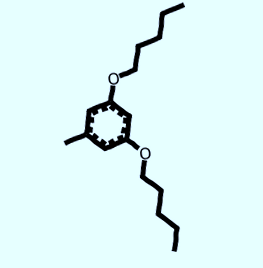 CCCCCOc1cc(C)cc(OCCCCC)c1